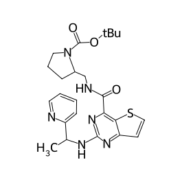 CC(Nc1nc(C(=O)NCC2CCCN2C(=O)OC(C)(C)C)c2sccc2n1)c1ccccn1